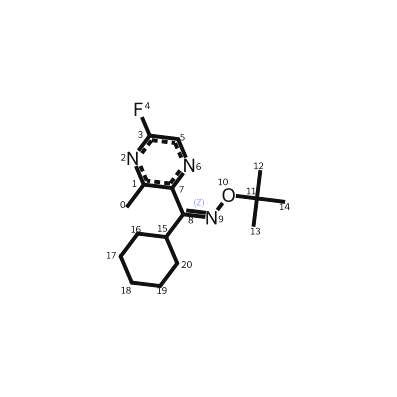 Cc1nc(F)cnc1/C(=N\OC(C)(C)C)C1CCCCC1